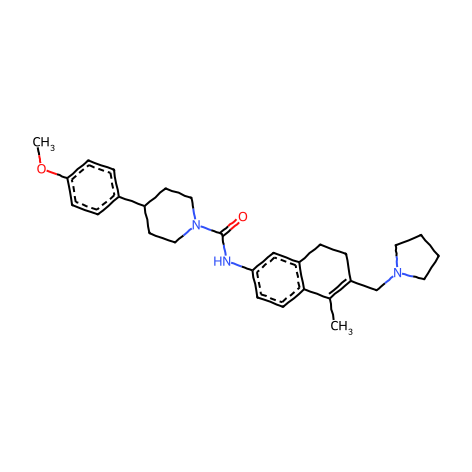 COc1ccc(C2CCN(C(=O)Nc3ccc4c(c3)CCC(CN3CCCC3)=C4C)CC2)cc1